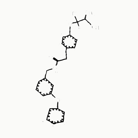 CC(C)C(F)(F)Oc1ccc(CC(=O)OCc2cccc(Oc3ccccc3)c2)cc1